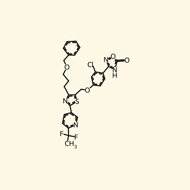 CC(F)(F)c1ccc(-c2nc(CCCOCc3ccccc3)c(COc3ccc(-c4noc(=O)[nH]4)c(Cl)c3)s2)cn1